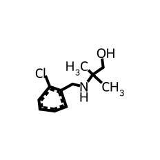 CC(C)(CO)NCc1ccccc1Cl